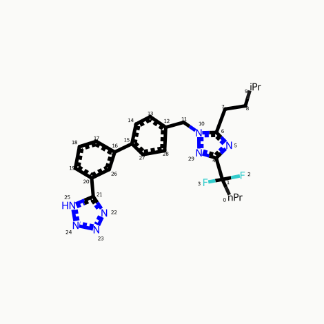 CCCC(F)(F)c1nc(CCC(C)C)n(Cc2ccc(-c3cccc(-c4nnn[nH]4)c3)cc2)n1